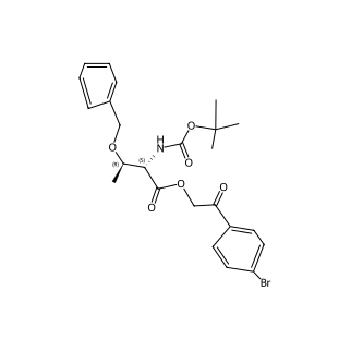 C[C@@H](OCc1ccccc1)[C@H](NC(=O)OC(C)(C)C)C(=O)OCC(=O)c1ccc(Br)cc1